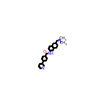 CN(C)CC1CCc2cc(NC(=O)c3ccc(-c4cccnc4)cc3)ccc2C1